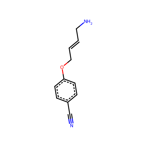 N#Cc1ccc(OC/C=C/CN)cc1